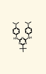 CN(C)c1ccc(Nc2nc(Nc3ccc(N(C)C)cc3)nc(C(C)(C)C)n2)cc1